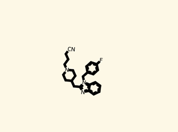 N#CCCCN1CCC(Cc2nc3ccccc3n2Cc2ccc(F)cc2)CC1